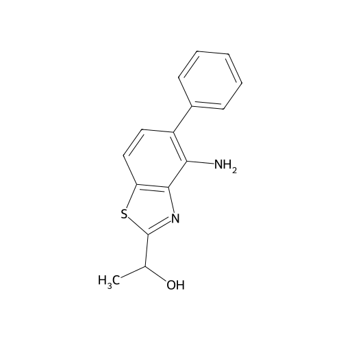 CC(O)c1nc2c(N)c(-c3ccccc3)ccc2s1